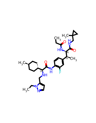 CCC(=O)N[C@@H](C(=O)NCC1(C)CC1)[C@@H](C)c1ccc(NC(=O)[C@@H](NCc2ccnn2CC)[C@H]2CC[C@H](C)CC2)c(F)c1